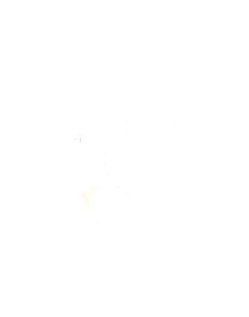 [CH2]CC(c1ccccc1)c1cccs1